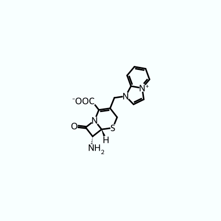 N[C@@H]1C(=O)N2C(C(=O)[O-])=C(Cn3cc[n+]4ccccc34)CS[C@H]12